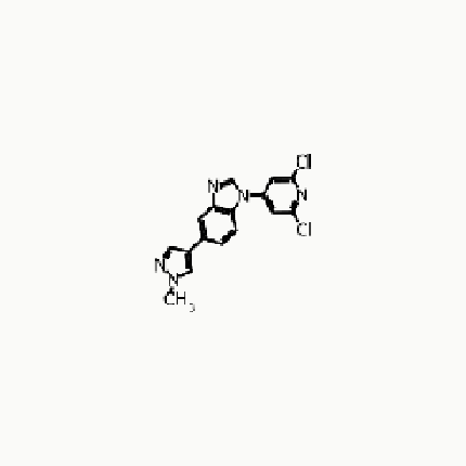 Cn1cc(-c2ccc3c(c2)ncn3-c2cc(Cl)nc(Cl)c2)cn1